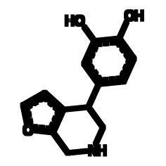 Oc1ccc(C2CNCc3occc32)cc1O